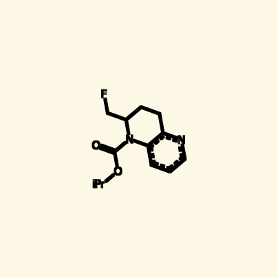 CC(C)OC(=O)N1c2cccnc2CCC1CF